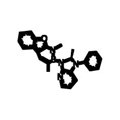 CC1=Cc2c(oc3ccccc23)N(C)B1N1c2ncccc2N(c2ccccc2)[C@@H]1C